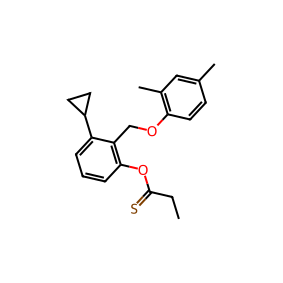 CCC(=S)Oc1cccc(C2CC2)c1COc1ccc(C)cc1C